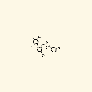 COc1cc(F)c(C(C)C)cc1-c1ccc(C2CC2)cc1CN1C(=O)OC(c2cc(C)cc(C(F)(F)F)c2)C1C